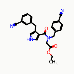 CCOC(=O)CN(Cc1ccc(C#N)cc1)C(=O)c1c[nH]cc1Cc1cccc(C#N)c1